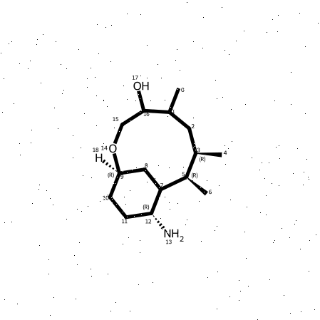 CC1C[C@@H](C)[C@@H](C)C2C[C@@H](CC[C@H]2N)OCC1O